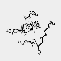 C=COC(=O)CCCCCC(C)(C)C.C=COC(C)=O.CC(=O)O.CC(C)(C)CCCCCC(=O)O